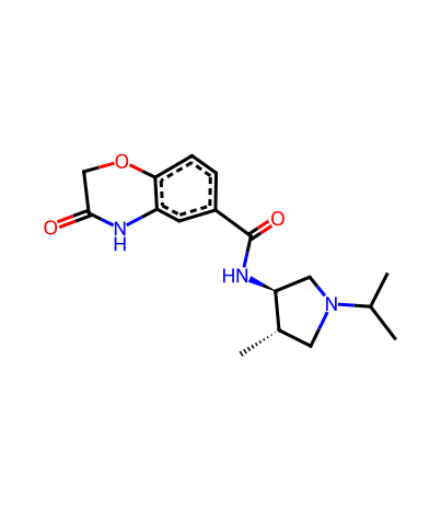 CC(C)N1C[C@H](NC(=O)c2ccc3c(c2)NC(=O)CO3)[C@@H](C)C1